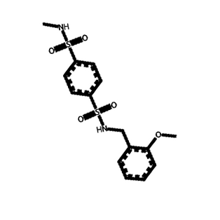 CNS(=O)(=O)c1ccc(S(=O)(=O)NCc2ccccc2OC)cc1